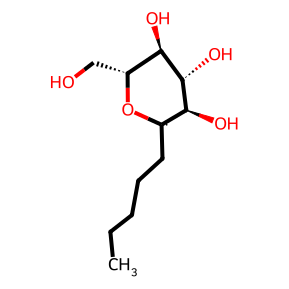 CCCCC[C]1O[C@H](CO)[C@@H](O)[C@H](O)[C@H]1O